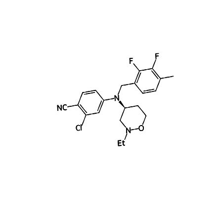 CCN1C[C@@H](N(Cc2ccc(C)c(F)c2F)c2ccc(C#N)c(Cl)c2)CCO1